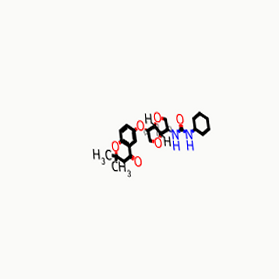 CC1(C)CC(=O)c2cc(O[C@H]3CO[C@H]4[C@@H]3OC[C@@H]4NC(=O)NC3CCCCC3)ccc2O1